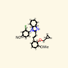 COc1cccc(C=Cc2nc3ccccc3n2-c2ccc(C#N)cc2F)c1OCC1CC1